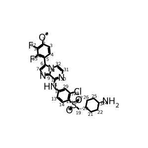 COc1ccc(-c2cnc3c(Nc4ccc(S(=O)(=O)C[C@H]5CC[C@H](N)CC5)c(Cl)c4)nccn23)c(F)c1F